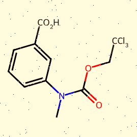 CN(C(=O)OCC(Cl)(Cl)Cl)c1cccc(C(=O)O)c1